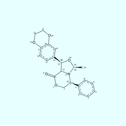 O=C1OC[C@H](c2ccccc2)N2C1[C@@H](c1ccc3c(c1)OCCO3)O[C@H]2I